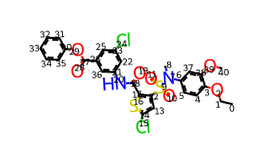 CCOc1ccc(N(C)S(=O)(=O)c2cc(Cl)sc2C(=O)Nc2cc(Cl)cc(C(=O)Oc3ccccc3)c2)cc1OC